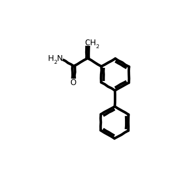 C=C(C(N)=O)c1cccc(-c2ccccc2)c1